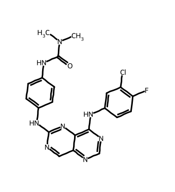 CN(C)C(=O)Nc1ccc(Nc2ncc3ncnc(Nc4ccc(F)c(Cl)c4)c3n2)cc1